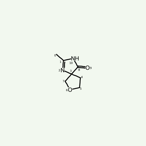 CC1=NC2(CCOC2)C(=O)N1